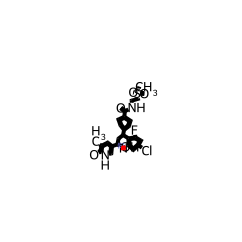 Cc1cc(/C(CC(c2ccc(C(=O)NCCS(C)(=O)=O)cc2)c2ccc(Cl)cc2F)=N/O)c[nH]c1=O